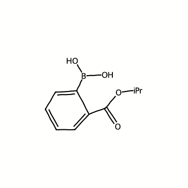 CC(C)OC(=O)c1ccccc1B(O)O